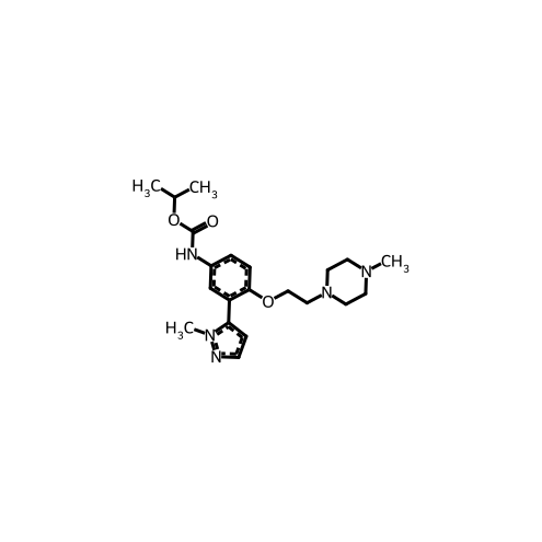 CC(C)OC(=O)Nc1ccc(OCCN2CCN(C)CC2)c(-c2ccnn2C)c1